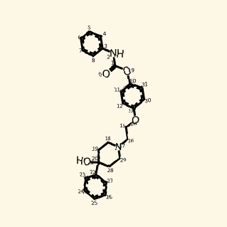 O=C(Nc1ccccc1)Oc1ccc(OCCN2CCC(O)(c3ccccc3)CC2)cc1